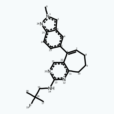 Cn1cc2cc(C3=CCCCc4nc(NCC(C)(C)F)ncc43)ccc2n1